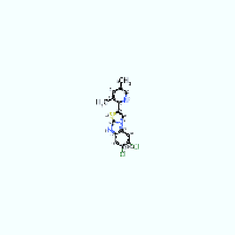 Cc1cnc(-c2cn3c(nc4cc(Cl)c(Cl)cc43)s2)c(C)c1